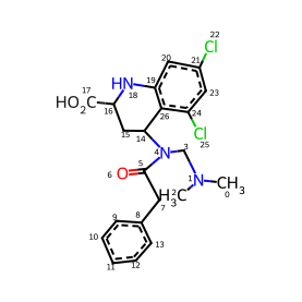 CN(C)CN(C(=O)Cc1ccccc1)C1CC(C(=O)O)Nc2cc(Cl)cc(Cl)c21